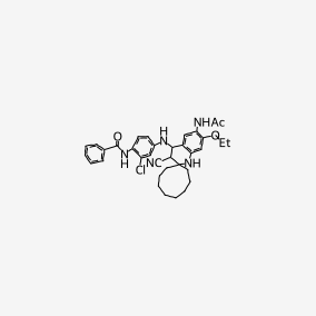 CCOc1cc2c(cc1NC(C)=O)C(Nc1ccc(NC(=O)c3ccccc3)c(Cl)c1)C(C#N)C1(CCCCCCCC1)N2